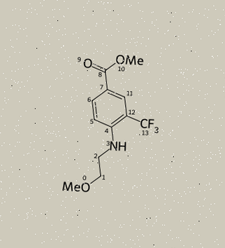 COCCNc1ccc(C(=O)OC)cc1C(F)(F)F